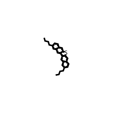 CCCCc1ccc2cc3sc4cc5ccc(CCCC)cc5cc4c3cc2c1